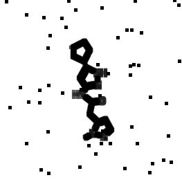 Cn1nccc1CC(=O)Nc1cc([C@H]2C[CH]CC2)[nH]n1